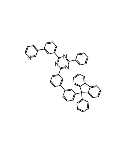 c1ccc(-c2nc(-c3cccc(-c4cccnc4)c3)nc(-c3cccc(-c4cccc(C5(c6ccccc6)c6ccccc6-c6ccccc65)c4)c3)n2)cc1